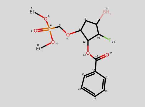 BC1CC(OCP(=O)(OCC)OCC)C(OC(=O)c2ccccc2)C1F